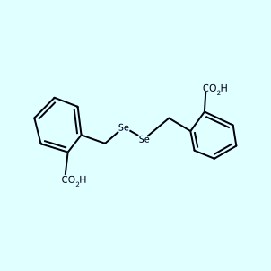 O=C(O)c1ccccc1C[Se][Se]Cc1ccccc1C(=O)O